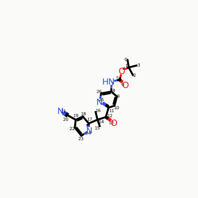 CC(C)(C)OC(=O)Nc1ccc(C(=O)C(C)(C)c2cc(C#N)ccn2)nc1